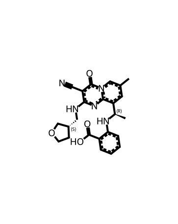 Cc1cc([C@@H](C)Nc2ccccc2C(=O)O)c2nc(NC[C@@H]3CCOC3)c(C#N)c(=O)n2c1